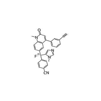 C#Cc1cccc(-c2cc(=O)n(C)c3ccc([C@](F)(c4ccc(C#N)cc4)c4cncn4C)cc23)c1